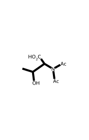 CC(=O)N(C(C)=O)C(C(=O)O)C(C)O